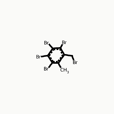 Cc1c(Br)c(Br)c(Br)c(Br)c1CBr